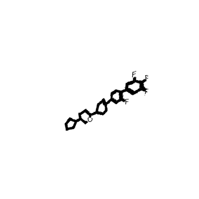 Fc1cc(C2=CCC(C3CCC(C4CCCC4)CO3)CC2)ccc1-c1cc(F)c(F)c(F)c1